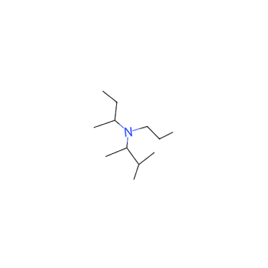 CCCN(C(C)CC)C(C)C(C)C